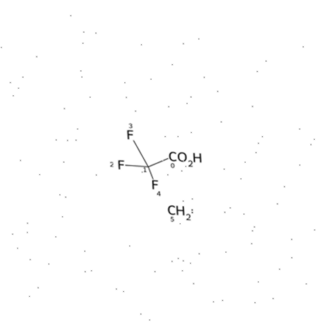 O=C(O)C(F)(F)F.[CH2]